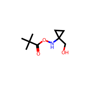 CC(C)(C)C(=O)ONC1(CO)CC1